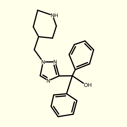 OC(c1ccccc1)(c1ccccc1)c1ncn(CC2CCNCC2)n1